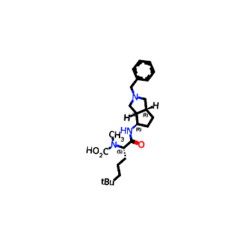 CN(C(=O)O)[C@@H](CCCC(C)(C)C)C(=O)N[C@@H]1CC[C@H]2CN(Cc3ccccc3)C[C@H]21